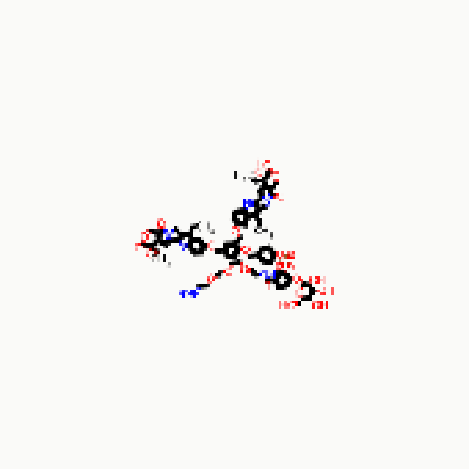 CCc1c2c(nc3ccc(OCc4ccc(OCc5ccc(OS(=O)(=O)Oc6cc(C(=O)NCCOCCOCCOCCN=[N+]=[N-])ccc6OC6O[C@H](CO)[C@H](O)[C@H](O)[C@H]6O)cc5)c(COc5ccc6nc7c(c(CC)c6c5)Cn5c-7cc6c(c5=O)COC(=O)[C@]6(O)CC)c4)cc13)-c1cc3c(c(=O)n1C2)COC(=O)[C@]3(O)CC